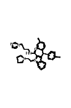 Cc1ccc(C(c2ccc(C)cc2)c2c(C(=O)NCCCn3ccnc3)n(CCN3CCCC3)c3ccccc23)cc1